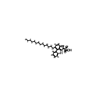 CCCCCCCCCCCCCCc1ccc2nc(S(=O)(=O)O)[nH]c2c1-c1ccccc1